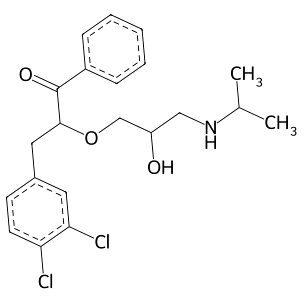 CC(C)NCC(O)COC(Cc1ccc(Cl)c(Cl)c1)C(=O)c1ccccc1